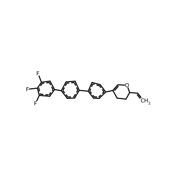 C=CC1CCC(c2ccc(-c3ccc(-c4cc(F)c(F)c(F)c4)cc3)cc2)=CO1